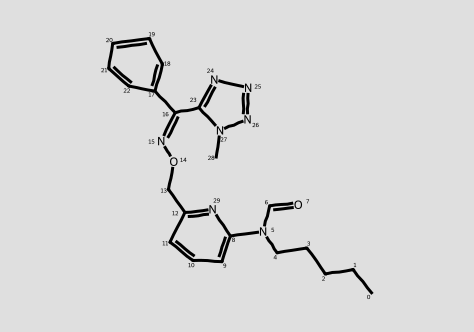 CCCCCN(C=O)c1cccc(CO/N=C(/c2ccccc2)c2nnnn2C)n1